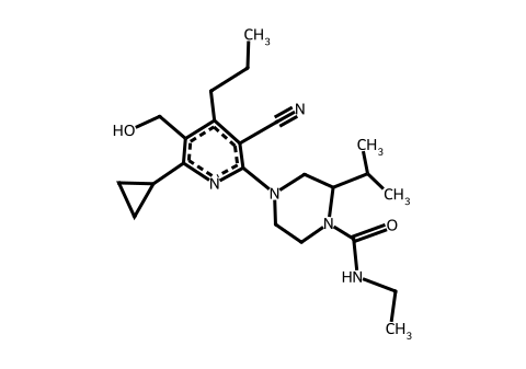 CCCc1c(C#N)c(N2CCN(C(=O)NCC)C(C(C)C)C2)nc(C2CC2)c1CO